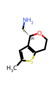 Cc1cc2c(s1)CCO[C@H]2CN